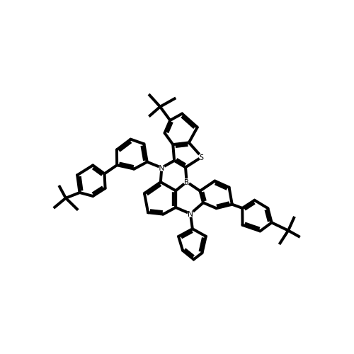 CC(C)(C)c1ccc(-c2cccc(N3c4cccc5c4B(c4ccc(-c6ccc(C(C)(C)C)cc6)cc4N5c4ccccc4)c4sc5ccc(C(C)(C)C)cc5c43)c2)cc1